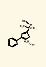 CC(C)(C)[NH][Ti+2]([CH3])([CH3])[C]1=CC(c2ccccc2)=CC1.[Cl-].[Cl-].[SiH4]